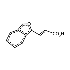 O=C(O)C=Cc1occ2ccccc12